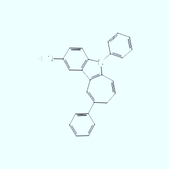 Nc1ccc2c(c1)c1c(n2-c2ccccc2)C=CCC(c2ccccc2)=C1